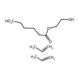 C=CC.C=CC.O=C(O)CCCCC(=O)OCCO